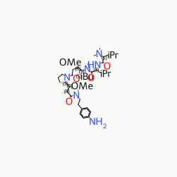 CC[C@H](C)[C@@H]([C@@H](CC(=O)N1CCC[C@H]1[C@H](OC)[C@@H](C)C(=O)N(C)CCc1ccc(N)cc1)OC)N(C)C(=O)[C@@H](NC(=O)[C@H](C(C)C)N(C)C)C(C)C